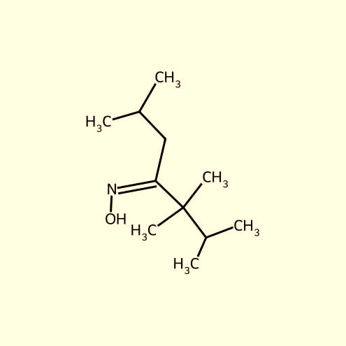 CC(C)CC(=NO)C(C)(C)C(C)C